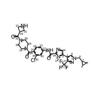 Cn1c(-c2cn(CC3CC3)nc2C(F)(F)F)cnc1C(=O)Nc1ccc(C(=O)N2CCN(C(=O)C3CNC3)CC2)c(Cl)c1